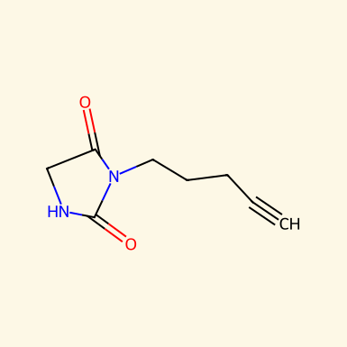 C#CCCCN1C(=O)CNC1=O